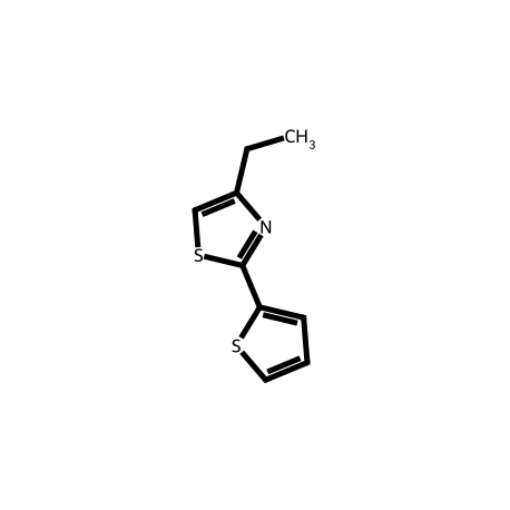 CCc1csc(-c2cccs2)n1